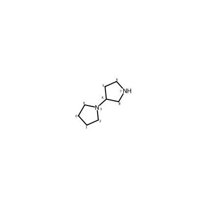 C1CCN(C2CCNC2)C1